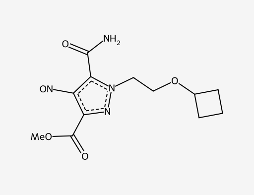 COC(=O)c1nn(CCOC2CCC2)c(C(N)=O)c1N=O